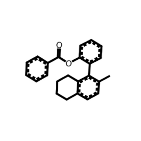 Cc1ccc2c(c1-c1ccccc1OC(=O)c1ccccc1)CCCC2